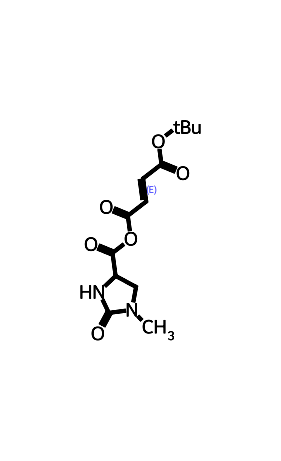 CN1CC(C(=O)OC(=O)/C=C/C(=O)OC(C)(C)C)NC1=O